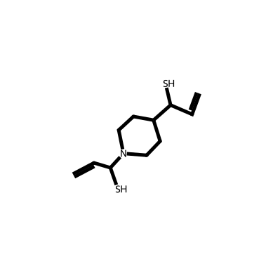 C=CC(S)C1CCN(C(S)C=C)CC1